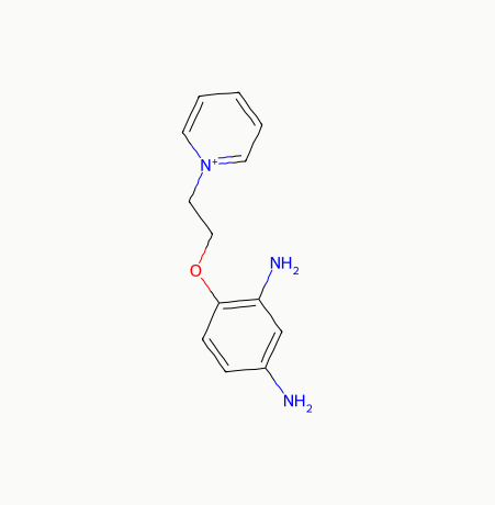 Nc1ccc(OCC[n+]2ccccc2)c(N)c1